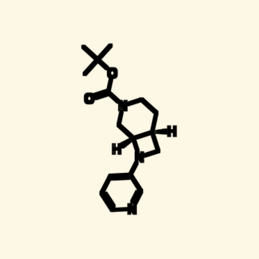 CC(C)(C)OC(=O)N1CC[C@@H]2CN(c3cccnc3)[C@@H]2C1